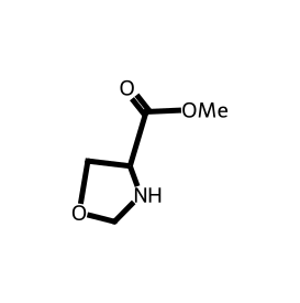 COC(=O)C1COCN1